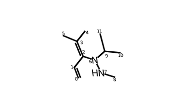 C=CC(=C(C)C)N(NC)C(C)C